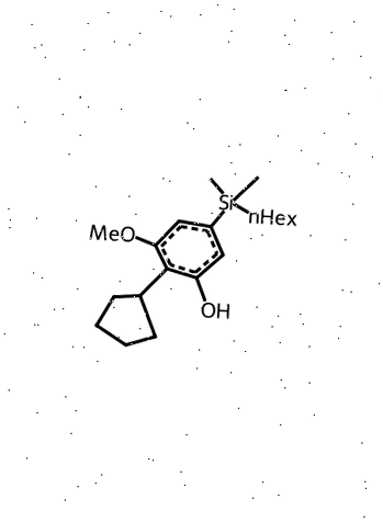 CCCCCC[Si](C)(C)c1cc(O)c(C2CCCC2)c(OC)c1